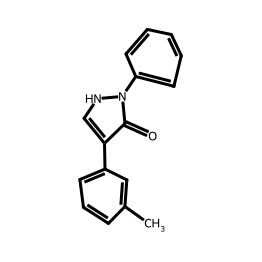 Cc1cccc(-c2c[nH]n(-c3ccccc3)c2=O)c1